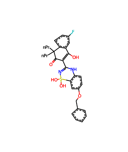 CCCC1(CCC)C(=O)C(C2=NS(O)(O)c3cc(OCc4ccccc4)ccc3N2)=C(O)c2cc(F)ccc21